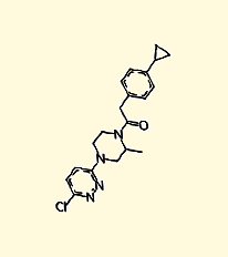 CC1CN(c2ccc(Cl)nn2)CCN1C(=O)Cc1ccc(C2CC2)cc1